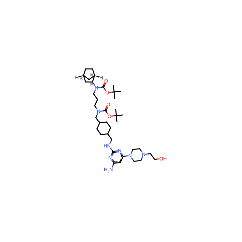 CC(C)(C)OC(=O)N(CCCN(C(=O)OC(C)(C)C)[C@H]1C[C@@H]2CC[C@H]1C2)CC1CCC(CNc2nc(N)cc(N3CCN(CCO)CC3)n2)CC1